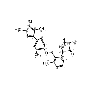 Cc1cc(-c2nn(C)c(Cl)c2C)ccc1OCc1c(C)cccc1N1NNN(C)C1=O